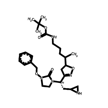 CC(CCCNC(=O)OC(C)(C)C)C1CC([C@H](CC2CN2)N2CCN(OCc3ccccc3)C2=O)=NO1